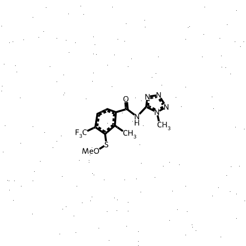 COSc1c(C(F)(F)F)ccc(C(=O)Nc2nnnn2C)c1C